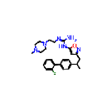 CC(Cc1cc(NC(N)=NCCN2CCN(C)CC2)on1)c1ccc(-c2ccccc2F)cc1